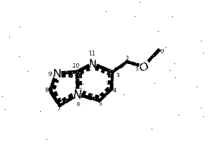 COCc1ccn2ccnc2n1